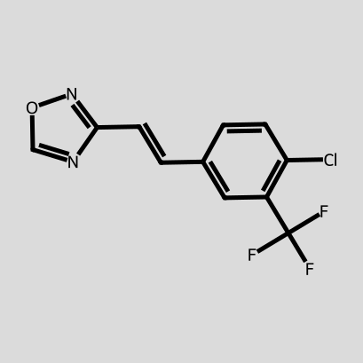 FC(F)(F)c1cc(C=Cc2ncon2)ccc1Cl